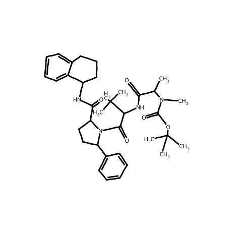 CC(C(=O)NC(C(=O)N1C(C(=O)NC2CCCc3ccccc32)CCC1c1ccccc1)C(C)(C)C)N(C)C(=O)OC(C)(C)C